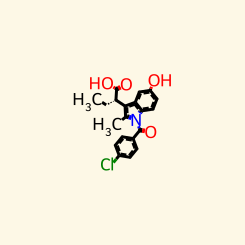 CC[C@H](C(=O)O)c1c(C)n(C(=O)c2ccc(Cl)cc2)c2ccc(O)cc12